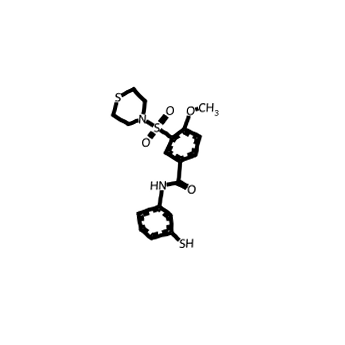 COc1ccc(C(=O)Nc2cccc(S)c2)cc1S(=O)(=O)N1CCSCC1